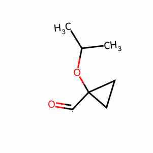 CC(C)OC1([C]=O)CC1